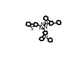 c1ccc(-c2ccc3c(c2)c2ccccc2n3-c2nc(-c3ccc4c(c3)sc3ccccc34)nc(-c3ccc4c(c3)c3ccccc3n4-c3ccccc3)n2)cc1